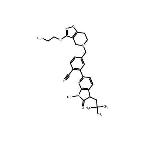 CCCOc1noc2c1CN(Cc1ccc(C#N)c(-c3ccc4c(n3)n(C)c(=O)n4CC(C)(C)C)c1)CC2